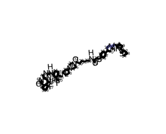 C=C(/C=C\C(C)=C\c1ccc(-c2cccs2)[nH]1)c1ccc(OCC(=O)NCCCCCC(=O)N2CCN(C3CCN(Cc4ccc(Nc5ncc6c(n5)N(C)c5c(F)cccc5C(=O)N6C)cc4C(F)(F)F)CC3)CC2)cc1